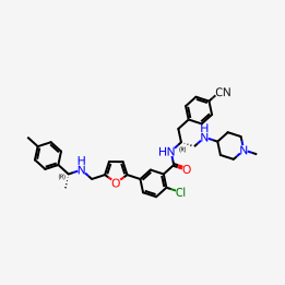 Cc1ccc([C@@H](C)NCc2ccc(-c3ccc(Cl)c(C(=O)N[C@@H](CNC4CCN(C)CC4)Cc4ccc(C#N)cc4)c3)o2)cc1